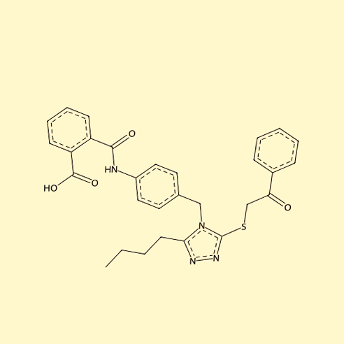 CCCCc1nnc(SCC(=O)c2ccccc2)n1Cc1ccc(NC(=O)c2ccccc2C(=O)O)cc1